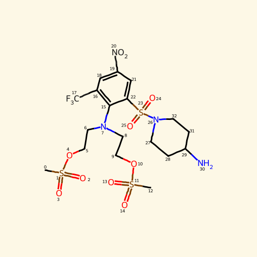 CS(=O)(=O)OCCN(CCOS(C)(=O)=O)c1c(C(F)(F)F)cc([N+](=O)[O-])cc1S(=O)(=O)N1CCC(N)CC1